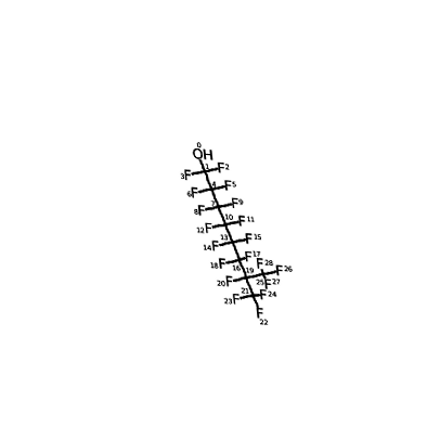 OC(F)(F)C(F)(F)C(F)(F)C(F)(F)C(F)(F)C(F)(F)C(F)(C(F)(F)F)C(F)(F)F